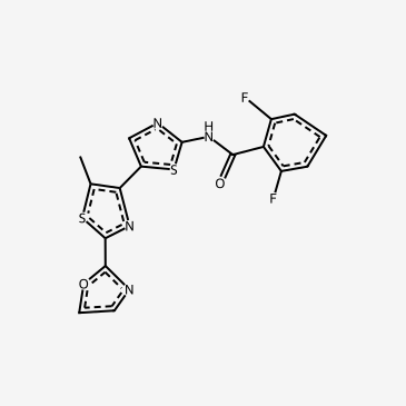 Cc1sc(-c2ncco2)nc1-c1cnc(NC(=O)c2c(F)cccc2F)s1